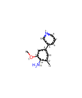 COc1cc(-c2cccnc2)cc(C)c1N